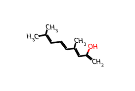 C=C(O)/C=C(C)/C=C/C=C(C)C